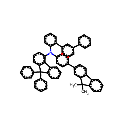 CC1(C)c2ccccc2-c2ccc(-c3ccc(N(c4ccccc4-c4cccc(-c5ccccc5)c4)c4cccc5c4-c4ccccc4C5(c4ccccc4)c4ccccc4)cc3)cc21